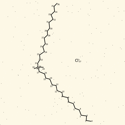 CCCCCCCCCCCCCCCCCC[N+](C)(C)CCCCCCCCCCCCCCCC.[Cl-]